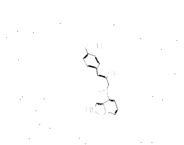 CC(=Cc1ccc(C(=O)O)cc1)CNC1=CC=CN2SNC=C12